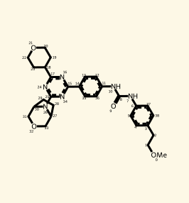 COCCc1ccc(NC(=O)Nc2ccc(-c3nc(C4CCOCC4)nc(N4C5CCC4COC5)n3)cc2)cc1